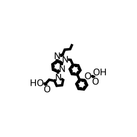 CCCc1nc2ccc(N3CCCC3CC(=O)O)nc2n1Cc1ccc(-c2ccccc2OC(=O)O)cc1